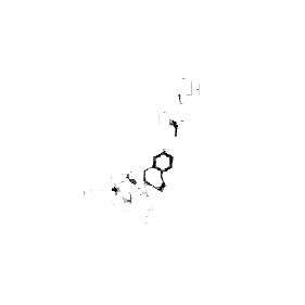 CCOC(=O)COc1ccc2c(c1)CC(NC(=O)OC(C)(C)C)CC2